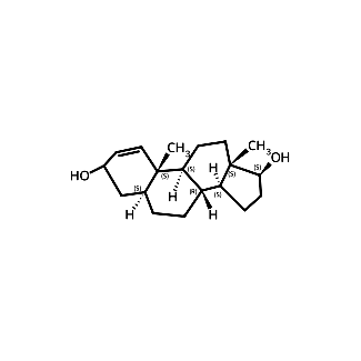 C[C@]12C=CC(O)C[C@@H]1CC[C@@H]1[C@@H]2CC[C@]2(C)[C@@H](O)CC[C@@H]12